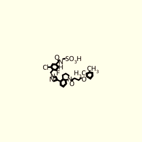 Cc1cccc(OCCCC(=O)N2CCCc3c(-c4cnn(Cc5c(F)cc(C(=O)NCS(=O)(=O)O)cc5Cl)c4)cccc32)c1C